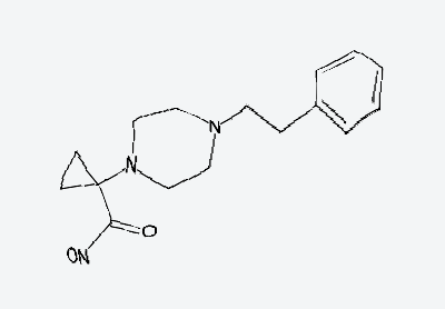 O=NC(=O)C1(N2CCN(CCc3ccccc3)CC2)CC1